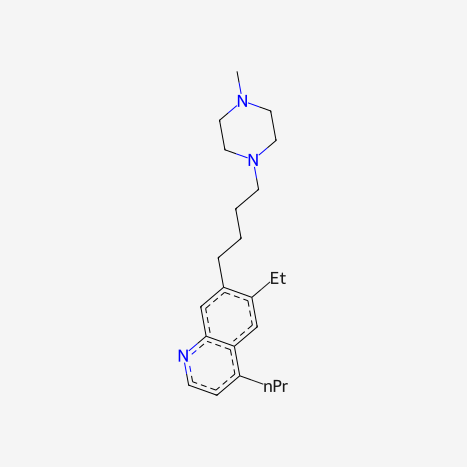 CCCc1ccnc2cc(CCCCN3CCN(C)CC3)c(CC)cc12